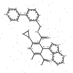 CC(=O)C1=C(C)NC(C2CC2)=C(C(=O)OCc2cccc(-c3ccncc3)c2)C1c1csc2ncccc12